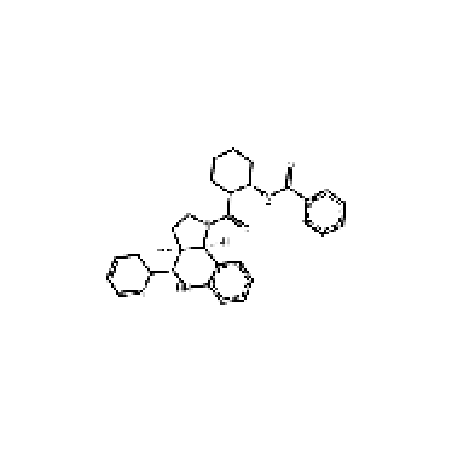 O=C(N[C@@H]1CCCC[C@@H]1C(=O)N1CC[C@@H]2[C@H](C3CC=CC=N3)Nc3ccccc3[C@@H]21)c1ccccc1